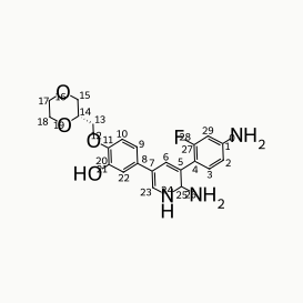 Nc1ccc(C2=CC(c3ccc(OC[C@H]4COCCO4)c(O)c3)=CNC2N)c(F)c1